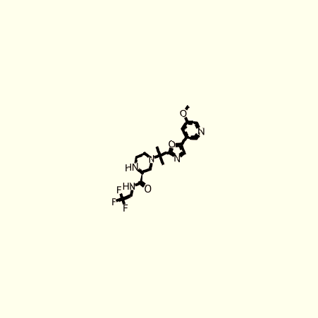 COc1cncc(-c2cnc(C(C)(C)N3CCN[C@H](C(=O)NCC(F)(F)F)C3)o2)c1